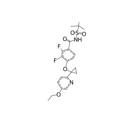 CCOc1ccc(C2(Oc3ccc(C(=O)NS(=O)(=O)C(C)(C)C)c(F)c3F)CC2)nc1